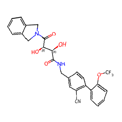 N#Cc1cc(CNC(=O)[C@H](O)[C@@H](O)C(=O)N2Cc3ccccc3C2)ccc1-c1ccccc1OC(F)(F)F